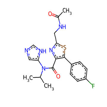 CC(=O)NCc1nc(C(=O)N(c2cnc[nH]2)C(C)C)c(-c2ccc(F)cc2)s1